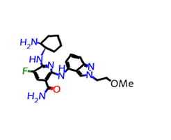 COCCn1cc2c(Nc3nc(N[C@@H]4CCCC[C@@H]4N)c(F)cc3C(N)=O)cccc2n1